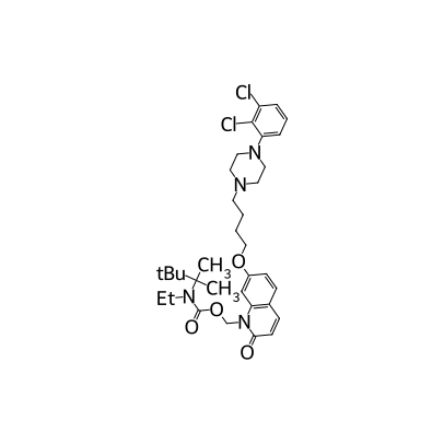 CCN(C(=O)OCn1c(=O)ccc2ccc(OCCCCN3CCN(c4cccc(Cl)c4Cl)CC3)cc21)C(C)(C)C(C)(C)C